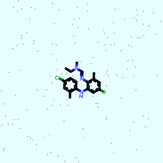 CCN(C)C=Nc1c(C)cc(F)cc1Nc1ccc(Cl)cc1C